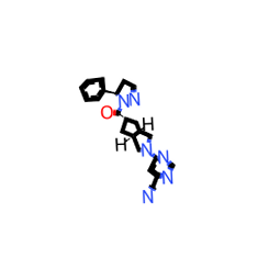 N#Cc1cc(N2C[C@H]3C[C@H](C(=O)N4N=CC[C@@H]4c4ccccc4)C[C@H]3C2)ncn1